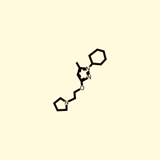 Cc1cc(OCCN2CCCC2)nn1C1CCCCC1